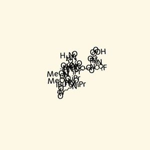 CC[C@H](C)[C@@H]([C@@H](CC(=O)N1CCC[C@H]1[C@H](OC)[C@@H](C)C(=O)N[C@@H](Cc1ccccc1)C(=O)N[C@H](C(=O)N[C@@H](CCCNC(N)=O)C(=O)Nc1ccc(COC(=O)NC2CCc3c(C)c(F)cc4nc5c(c2c34)Cn2c-5cc3c(c2=O)COC(=O)[C@@]3(C)O)cc1)C(C)C)OC)N(C)C(=O)[C@@H](NC(=O)[C@H](C(C)C)N(C)C(=O)CCCCCN1C(=O)C=CC1=O)C(C)C